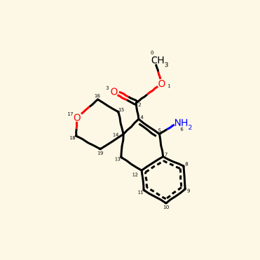 COC(=O)C1=C(N)c2ccccc2CC12CCOCC2